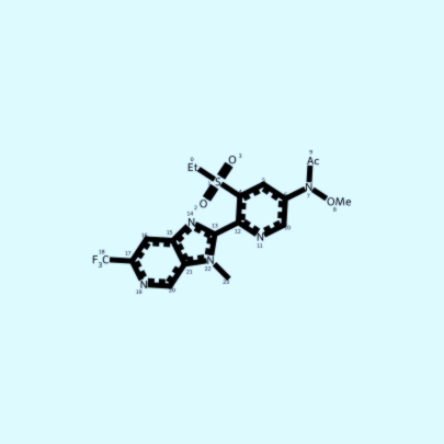 CCS(=O)(=O)c1cc(N(OC)C(C)=O)cnc1-c1nc2cc(C(F)(F)F)ncc2n1C